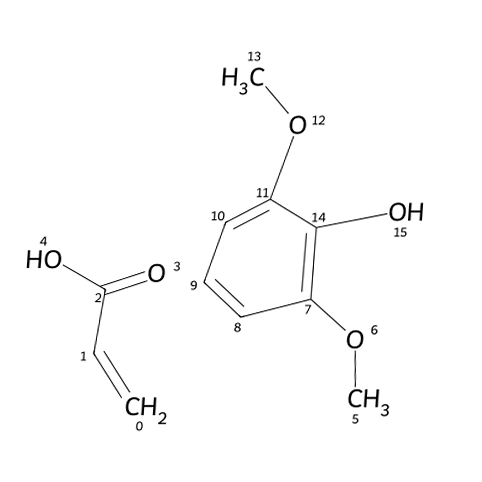 C=CC(=O)O.COc1cccc(OC)c1O